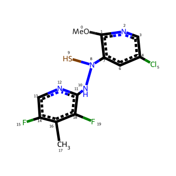 COc1ncc(Cl)cc1N(S)Nc1ncc(F)c(C)c1F